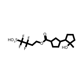 CC1(O)CCCC1C1CCC(C(=O)OCCC(F)(F)C(F)(F)S(=O)(=O)O)C1